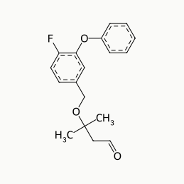 CC(C)(CC=O)OCc1ccc(F)c(Oc2ccccc2)c1